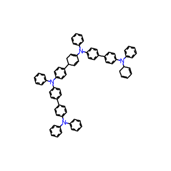 C1=CCC(N(c2ccccc2)c2ccc(-c3ccc(N(C4=CCC(c5ccc(N(c6ccccc6)c6ccc(-c7ccc(N(c8ccccc8)c8ccccc8)cc7)cc6)cc5)C=C4)c4ccccc4)cc3)cc2)C=C1